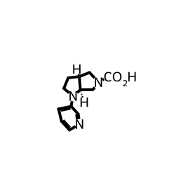 O=C(O)N1C[C@@H]2CCN(c3cccnc3)[C@@H]2C1